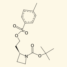 Cc1ccc(S(=O)(=O)OCC[C@@H]2CCN2C(=O)OC(C)(C)C)cc1